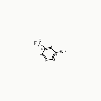 [N]c1cccc(C(F)(F)F)c1